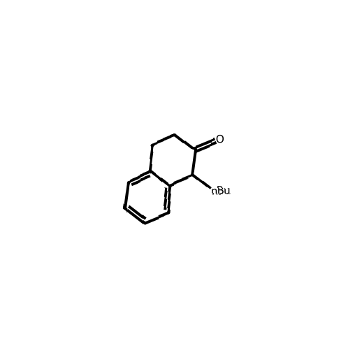 CCCCC1C(=O)CCc2ccccc21